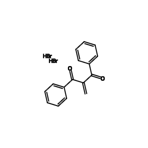 Br.Br.C=C(C(=O)c1ccccc1)C(=O)c1ccccc1